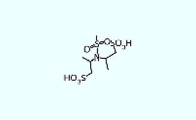 CC(CS(=O)(=O)O)N(C(C)CS(=O)(=O)O)S(C)(=O)=O